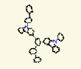 c1ccc(-c2ccc(-n3c4ccccc4c4cc(-c5cc(-c6cccc(-c7ccccc7)c6)cc(-c6ccc7c(c6)c6ccccc6n7-c6ccccc6)c5)ccc43)cc2)cc1